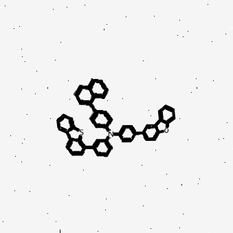 c1cc(-c2cccc3c2sc2ccccc23)cc(N(c2ccc(-c3ccc4oc5ccccc5c4c3)cc2)c2ccc(-c3cccc4ccccc34)cc2)c1